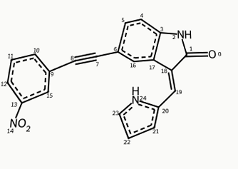 O=C1Nc2ccc(C#Cc3cccc([N+](=O)[O-])c3)cc2C1=Cc1ccc[nH]1